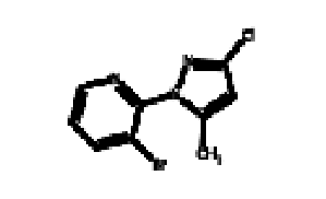 Cc1cc(Cl)nn1-c1ncccc1Br